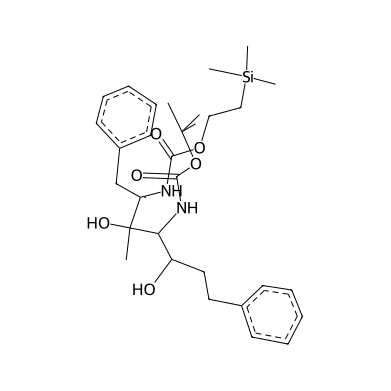 CC(C)(C)OC(=O)NC(C(O)CCc1ccccc1)C(C)(O)[C](Cc1ccccc1)NC(=O)OCC[Si](C)(C)C